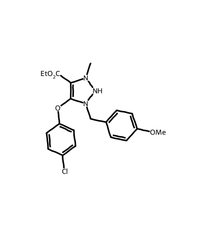 CCOC(=O)C1=C(Oc2ccc(Cl)cc2)N(Cc2ccc(OC)cc2)NN1C